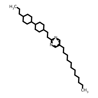 CCCCCCCCCCCCc1cnc(CCC2CCC(C3CCC(CCC)CC3)CC2)nc1